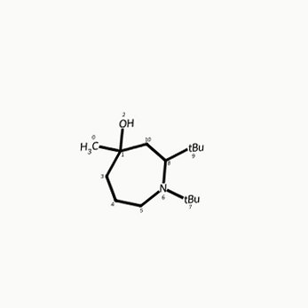 CC1(O)CCCN(C(C)(C)C)C(C(C)(C)C)C1